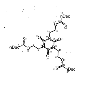 CCCCCCCCCCC(=S)OCCn1c(=O)n(CCOC(=S)CCCCCCCCCC)c(=O)n(CCOC(=S)CCCCCCCCCC)c1=O